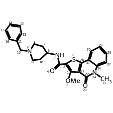 COc1c(C(=O)NC2CCN(Cc3ccccc3)CC2)sc2c1c(=O)n(C)c1ccccc21